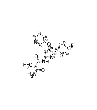 C[C](C(N)=O)C(=O)Nc1nc(-c2ccc(F)cc2)c(Oc2cccnc2)s1